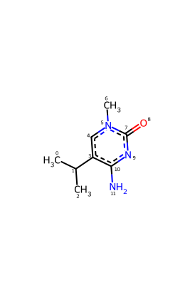 CC(C)c1cn(C)c(=O)nc1N